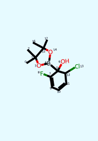 CC1(C)OB(C2(O)C(F)=CC=CC2Cl)OC1(C)C